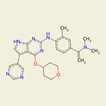 C=C(c1ccc(Nc2nc(OC3CCOCC3)c3c(-c4cncnc4)c[nH]c3n2)c(C)c1)N(C)C